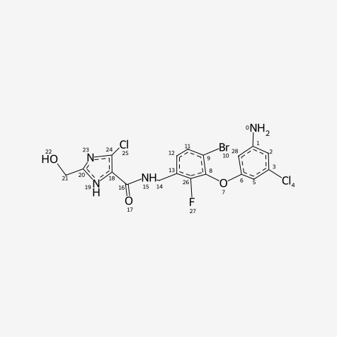 Nc1cc(Cl)cc(Oc2c(Br)ccc(CNC(=O)c3[nH]c(CO)nc3Cl)c2F)c1